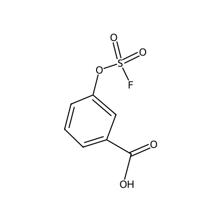 O=C(O)c1cccc(OS(=O)(=O)F)c1